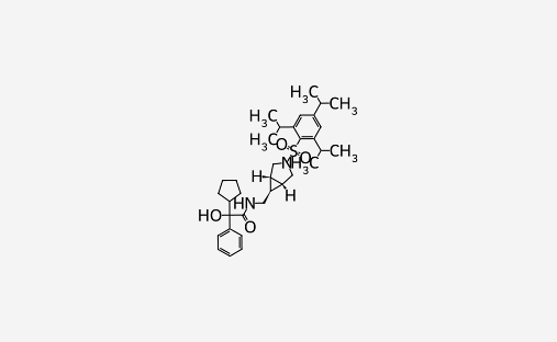 CC(C)c1cc(C(C)C)c(S(=O)(=O)N2C[C@@H]3[C@@H](CNC(=O)C(O)(c4ccccc4)C4CCCC4)[C@@H]3C2)c(C(C)C)c1